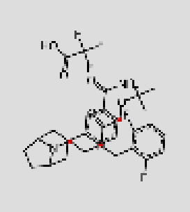 CC(C)(C)OCC(=O)N(CCN1C2CCC1CC(c1cccc(C(N)=O)c1)C2)Cc1c(F)cccc1F.O=C(O)C(F)(F)F